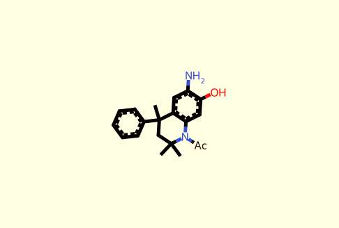 CC(=O)N1c2cc(O)c(N)cc2C(C)(c2ccccc2)CC1(C)C